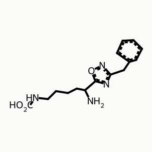 NC(CCCCNC(=O)O)c1nc(Cc2ccccc2)no1